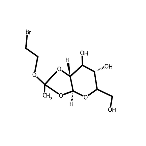 CC1(OCCBr)O[C@@H]2OC(CO)[C@@H](O)C(O)[C@H]2O1